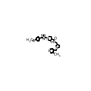 COc1ccc(-c2noc(N3CCC(C(=O)NCC4CCN(Cc5ccncc5C)C4)CC3)n2)cc1